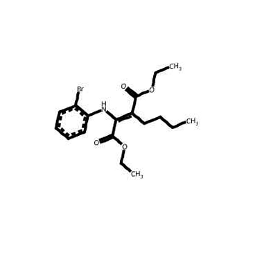 CCCC/C(C(=O)OCC)=C(/Nc1ccccc1Br)C(=O)OCC